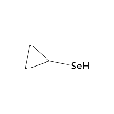 [SeH]C1CC1